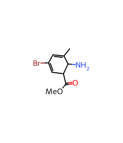 COC(=O)C1C=C(Br)C=C(C)C1N